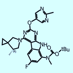 Cc1ncc(Oc2nc(N3C[C@H](C)C4(CC4)C3)c3c(n2)[nH]c2c(N(C)C(=O)OC(C)(C)C)cc(F)cc23)cn1